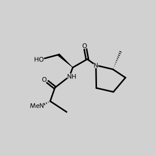 CN[C@@H](C)C(=O)N[C@@H](CO)C(=O)N1CCC[C@H]1C